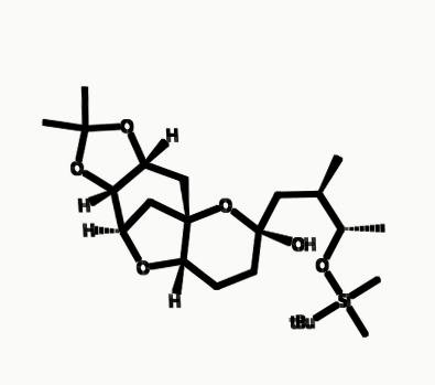 C[C@H](C[C@]1(O)CC[C@@H]2O[C@@H]3C[C@]2(C[C@H]2OC(C)(C)O[C@@H]32)O1)[C@H](C)O[Si](C)(C)C(C)(C)C